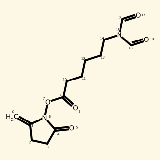 C=C1CCC(=O)N1OC(=O)CCCCCN(C=O)C=O